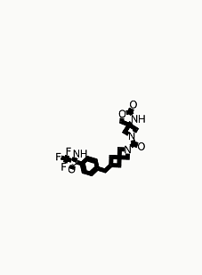 N=S(=O)(c1ccc(CC2CC3(C2)CN(C(=O)N2CC4(COC(=O)N4)C2)C3)cc1)C(F)(F)F